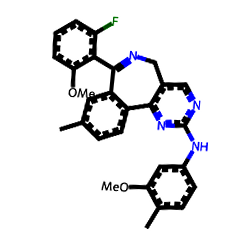 COc1cc(Nc2ncc3c(n2)-c2ccc(C)cc2C(c2c(F)cccc2OC)=NC3)ccc1C